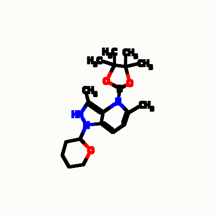 CC1=CC=C2C(=C(C)NN2C2CCCCO2)N1B1OC(C)(C)C(C)(C)O1